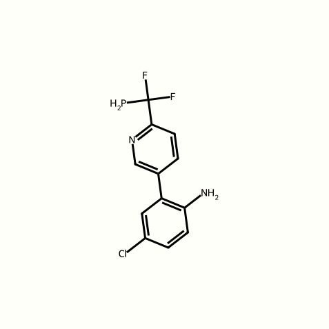 Nc1ccc(Cl)cc1-c1ccc(C(F)(F)P)nc1